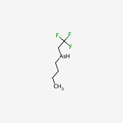 C[CH]CC[AsH]CC(F)(F)F